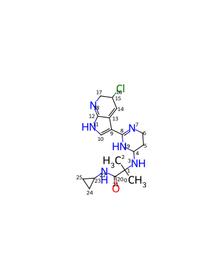 CC(C)(NC1CCN=C(c2c[nH]c3c2=CC(Cl)CN=3)N1)C(=O)NC1CC1